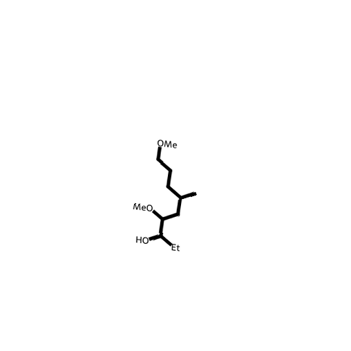 CCC(O)C(CC(C)CCCOC)OC